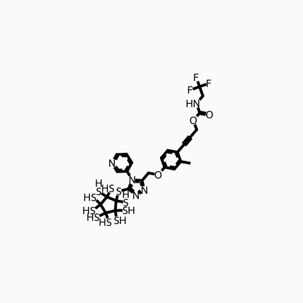 Cc1cc(OCc2nnc(SC3(S)C(S)(S)C(S)(S)C(S)(S)C3(S)S)n2-c2cccnc2)ccc1C#CCOC(=O)NCC(F)(F)F